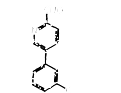 O=[C]c1ccc(-c2cccc(Cl)c2)cn1